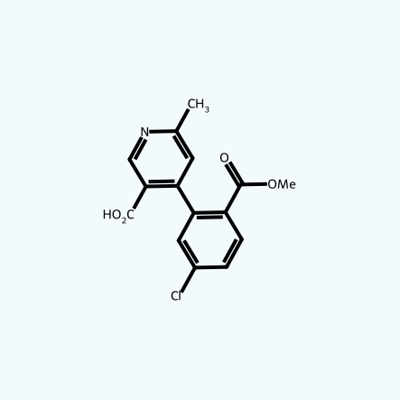 COC(=O)c1ccc(Cl)cc1-c1cc(C)ncc1C(=O)O